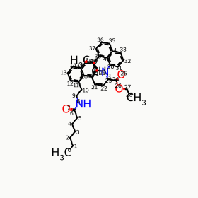 CCCCCCC(=O)NCCc1cccc2ccc3c(c12)C=CC(C(=O)OCC)N3c1cccc2cccc(C(C)C)c12